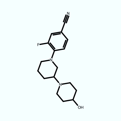 N#Cc1ccc(N2CCCC(N3CCC(O)CC3)C2)c(F)c1